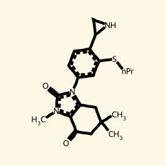 CCCSc1cc(-n2c3c(n(C)c2=O)C(=O)CC(C)(C)C3)ccc1C1CN1